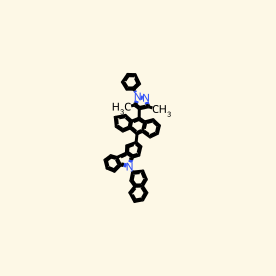 Cc1nn(-c2ccccc2)c(C)c1-c1c2ccccc2c(-c2ccc3c(c2)c2ccccc2n3-c2ccc3ccccc3c2)c2ccccc12